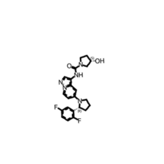 O=C(Nc1cnn2ccc(N3CCC[C@@H]3c3cc(F)ccc3F)cc12)N1CC[C@H](O)C1